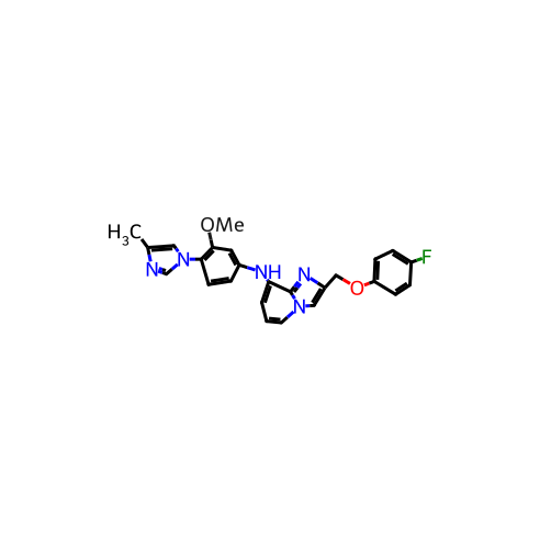 COc1cc(Nc2cccn3cc(COc4ccc(F)cc4)nc23)ccc1-n1cnc(C)c1